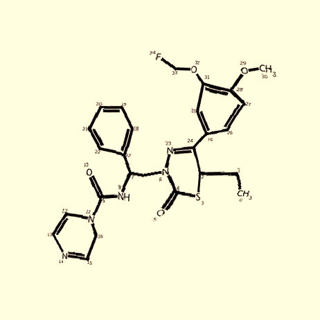 CCC1SC(=O)N(C(NC(=O)N2C=CN=CC2)c2ccccc2)N=C1c1ccc(OC)c(OCF)c1